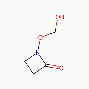 O=C1CCN1OCO